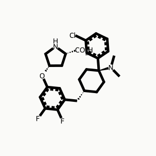 CN(C)[C@]1(c2cccc(Cl)c2)CC[C@@H](Cc2cc(O[C@@H]3CN[C@H](C(=O)O)C3)cc(F)c2F)CC1